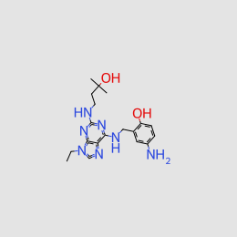 CCn1cnc2c(NCc3cc(N)ccc3O)nc(NCCC(C)(C)O)nc21